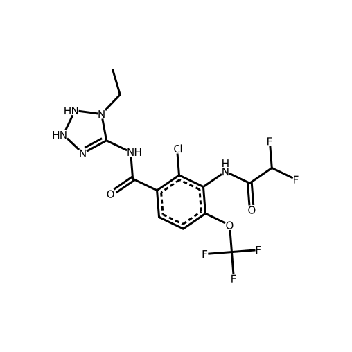 CCN1NNN=C1NC(=O)c1ccc(OC(F)(F)F)c(NC(=O)C(F)F)c1Cl